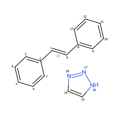 C(=C\c1ccccc1)/c1ccccc1.c1c[nH]nn1